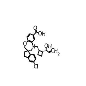 C=CC(O)[C@@H]1CC[C@H]1CN1C[C@@]2(CCc3cc(Cl)ccc32)COc2ccc(C(=O)O)cc21